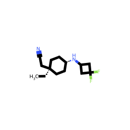 CC[C@]1(CC#N)CC[C@H](NC2CC(F)(F)C2)CC1